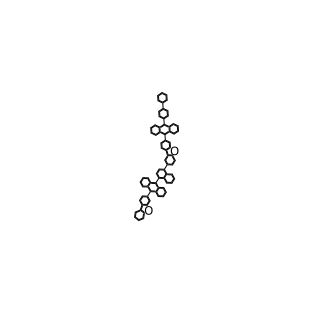 c1ccc(-c2ccc(-c3c4ccccc4c(-c4ccc5c(c4)oc4ccc(-c6ccc(-c7c8ccccc8c(-c8ccc9c(c8)oc8ccccc89)c8ccccc78)c7ccccc67)cc45)c4ccccc34)cc2)cc1